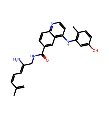 C=C(C)/C=C\C=C(/N)CNC(=O)c1ccc2nccc(Nc3cc(O)ccc3C)c2c1